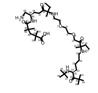 CCC(C)(NCCOCCOCC(=O)C(C)(CC)NCCCC[C@H](NC(C)(C)C)C(=O)C(C)(C)C)C(=O)CC[C@H](CN)NC(=O)C(C)(C)CC(C)(C)C(=O)O